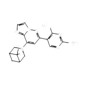 COc1ncc(-c2cc(N3CC4CC(C3)C4(F)F)c3nccn3n2)c(OC)n1